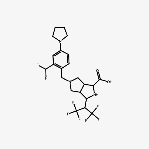 O=C(O)C1NC(C(C(F)(F)F)C(F)(F)F)C2CN(Cc3ccc(N4CCCC4)cc3C(F)F)CC12